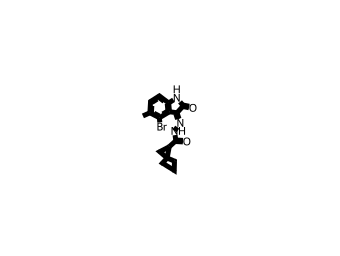 Cc1ccc2c(c1Br)/C(=N\NC(=O)C1CC13CCC3)C(=O)N2